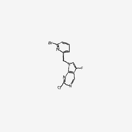 Fc1cn(Cc2cccc(Br)n2)c2nc(Cl)ncc12